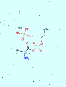 CCCCCCCCCCCCOS(=O)(=O)OC(=O)[C@@H](N)C(C)C.O=P(O)(O)O.[NaH]